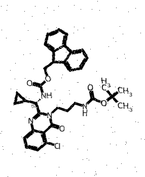 CC(C)(C)OC(=O)NCCCn1c([C@@H](NC(=O)OCC2c3ccccc3-c3ccccc32)C2CC2)nc2cccc(Cl)c2c1=O